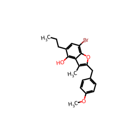 CCCc1cc(Br)c2oc(Cc3ccc(OC)cc3)c(C)c2c1O